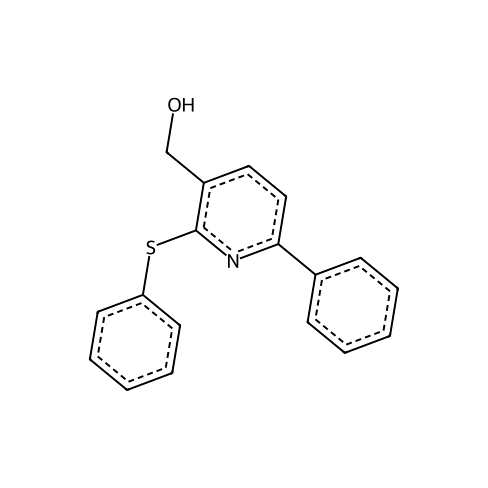 OCc1ccc(-c2ccccc2)nc1Sc1ccccc1